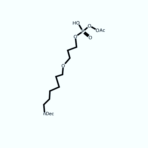 CCCCCCCCCCCCCCCCOCCCOP(=O)(O)OOC(C)=O